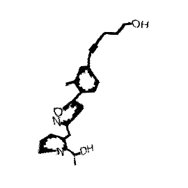 Cc1cc(C#CCCCO)ccc1-c1cc(Cc2cccnc2[C@H](C)O)no1